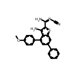 COc1ccc(-c2cc(-c3ccccc3)cc3sc(/C(N)=N\C#N)c(N)c23)cc1